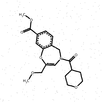 COCC1=CN(C(=O)C2CCOCC2)Cc2ccc(C(=O)OC)cc2O1